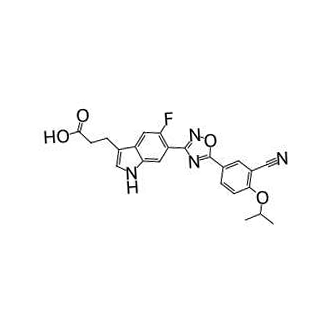 CC(C)Oc1ccc(-c2nc(-c3cc4[nH]cc(CCC(=O)O)c4cc3F)no2)cc1C#N